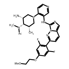 COCCOc1cc(F)c(-c2ccc3cnc(Nc4cnccc4N4C[C@@H](N)[C@@H](N(C)C(C)=O)[C@@H](C)C4)n3n2)c(F)c1